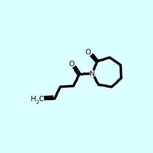 C=CCCC(=O)N1CCCCCC1=O